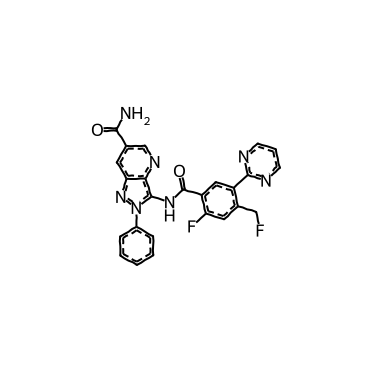 NC(=O)c1cnc2c(NC(=O)c3cc(-c4ncccn4)c(CF)cc3F)n(-c3ccccc3)nc2c1